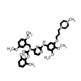 COc1ccc(OC)c(CN(C(=O)Oc2c(C)cccc2C)c2ccnc(Nc3cc(OC)c(OC)c(OCCCN4CCN(C)CC4)c3)n2)c1